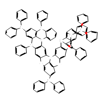 c1ccc(N(c2ccccc2)c2cc3c4c(c2)Oc2cc5c(cc2B4c2cc4c(cc2O3)N(c2ccccc2)c2cc(N(c3ccccc3)c3ccccc3)cc3c2B4c2ccccc2N3c2ccccc2)B2c3ccccc3N(c3ccccc3)c3cc(N(c4ccccc4)c4ccccc4)cc(c32)N5c2ccccc2)cc1